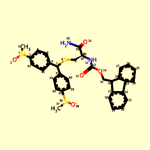 C[S+]([O-])c1ccc(C(SC[C@H](NC(=O)OCC2c3ccccc3-c3ccccc32)C(N)=O)c2ccc([S+](C)[O-])cc2)cc1